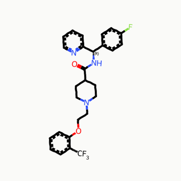 O=C(N[C@H](c1ccc(F)cc1)c1ccccn1)C1CCN(CCOc2ccccc2C(F)(F)F)CC1